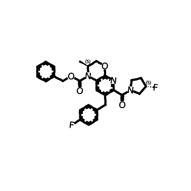 C[C@H]1COc2nc(C(=O)N3CC[C@H](F)C3)c(Cc3ccc(F)cc3)cc2N1C(=O)OCc1ccccc1